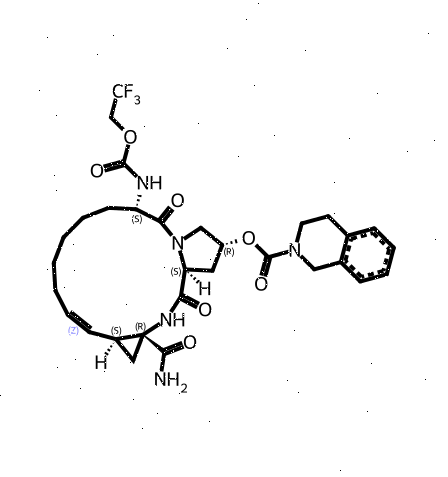 NC(=O)[C@@]12C[C@H]1/C=C\CCCCC[C@H](NC(=O)OCC(F)(F)F)C(=O)N1C[C@H](OC(=O)N3CCc4ccccc4C3)C[C@H]1C(=O)N2